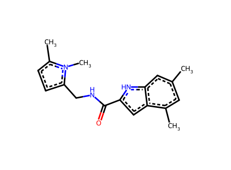 Cc1cc(C)c2cc(C(=O)NCc3ccc(C)n3C)[nH]c2c1